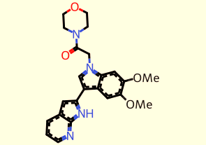 COc1cc2c(-c3cc4cccnc4[nH]3)cn(CC(=O)N3CCOCC3)c2cc1OC